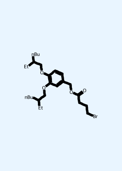 CCCCC(CC)COc1ccc(COC(=O)CCCBr)cc1OCC(CC)CCCC